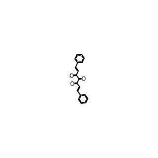 O=C(C=Cc1ccccc1)C(=O)C(=O)C=Cc1ccccc1